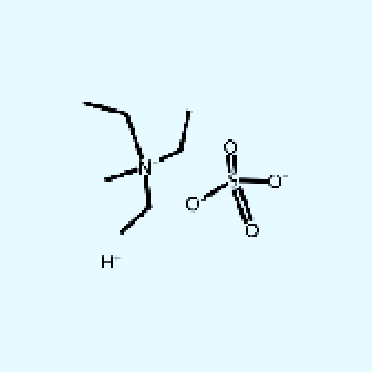 CC[N+](C)(CC)CC.O=S(=O)([O-])[O-].[H+]